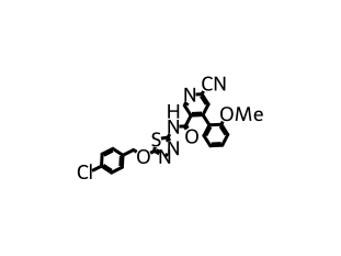 COc1ccccc1-c1cc(C#N)ncc1C(=O)Nc1nnc(OCc2ccc(Cl)cc2)s1